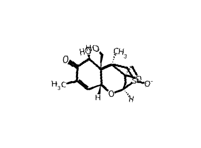 CC1=C[C@H]2O[C@@H]3[S+]([O-])C[C@](C)([C@@]2(CO)[C@H](O)C1=O)[C@]31CO1